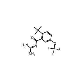 CC(C)(C)c1ccc(OC(F)(F)F)cc1C(=O)N=C(N)N